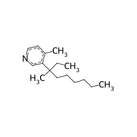 CCCCCCC(C)(CC)c1cnccc1C